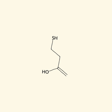 C=C(O)CCS